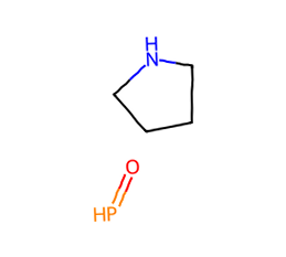 C1CCNC1.O=P